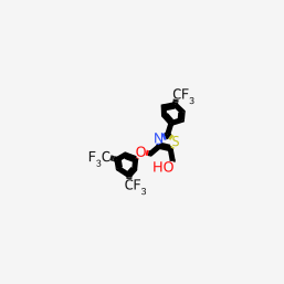 OCc1sc(-c2ccc(C(F)(F)F)cc2)nc1COc1cc(C(F)(F)F)cc(C(F)(F)F)c1